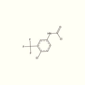 O=C(Cl)Nc1ccc(Cl)c(C(F)(F)F)c1